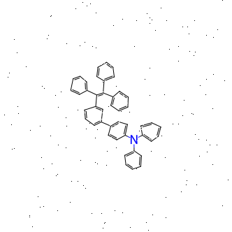 c1ccc(C(=C(c2ccccc2)c2cccc(-c3ccc(N(c4ccccc4)c4ccccc4)cc3)c2)c2ccccc2)cc1